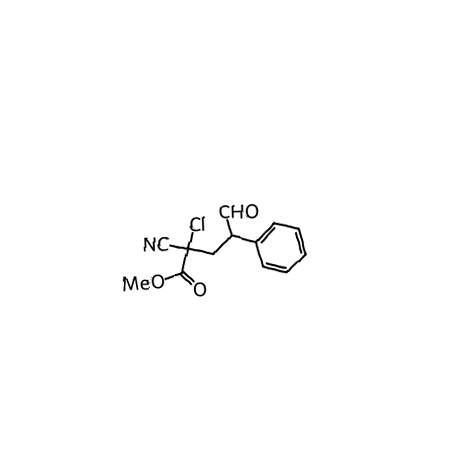 COC(=O)C(Cl)(C#N)CC(C=O)c1ccccc1